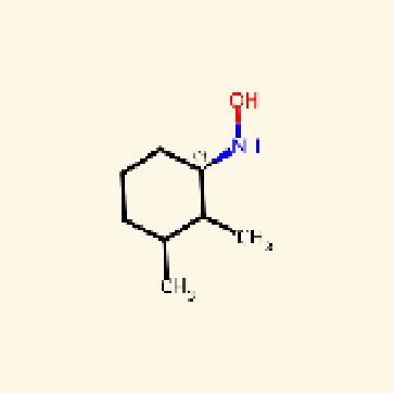 CC1CCC[C@@H](NO)C1C